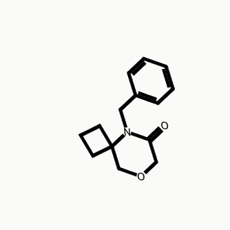 O=C1COCC2(CCC2)N1Cc1ccccc1